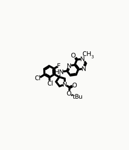 Cn1cnc2ccc(N[C@@]3(c4c(F)ccc(Cl)c4Cl)CCN(C(=O)OC(C)(C)C)C3)nc2c1=O